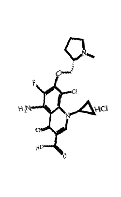 CN1CCC[C@H]1COc1c(F)c(N)c2c(=O)c(C(=O)O)cn(C3CC3)c2c1Cl.Cl